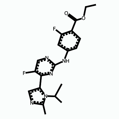 CCOC(=O)c1ccc(Nc2ncc(F)c(-c3cnc(C)n3C(C)C)n2)cc1F